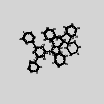 c1ccc(-c2nc(-c3ccccc3)nc(-n3c4ccccc4c4c5c(c6ccccc6c43)-c3ccccc3C53CCCCC3)n2)cc1